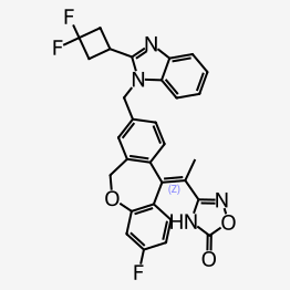 C/C(=C1\c2ccc(Cn3c(C4CC(F)(F)C4)nc4ccccc43)cc2COc2cc(F)ccc21)c1noc(=O)[nH]1